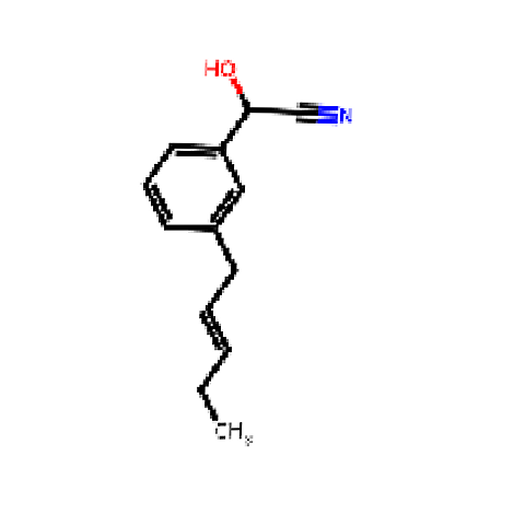 CC/C=C/Cc1cccc(C(O)C#N)c1